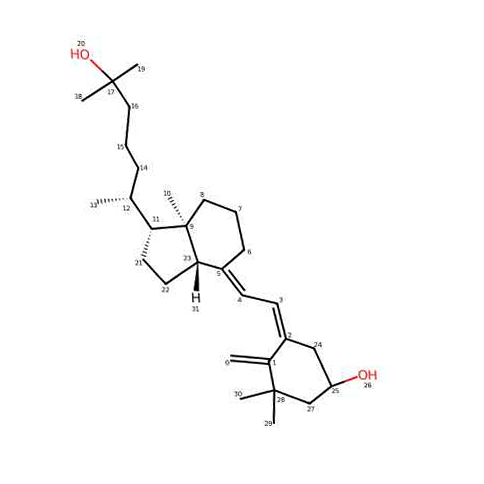 C=C1/C(=C\C=C2/CCC[C@]3(C)[C@@H]([C@H](C)CCCC(C)(C)O)CC[C@@H]23)CC(O)CC1(C)C